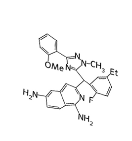 CCc1ccc(F)c(C(c2cc3cc(N)ccc3c(N)n2)c2nc(-c3ccccc3OC)nn2C)c1